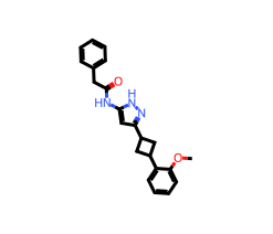 COc1ccccc1C1CC(c2cc(NC(=O)Cc3ccccc3)[nH]n2)C1